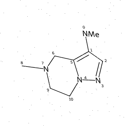 CNc1cnn2c1CN(C)CC2